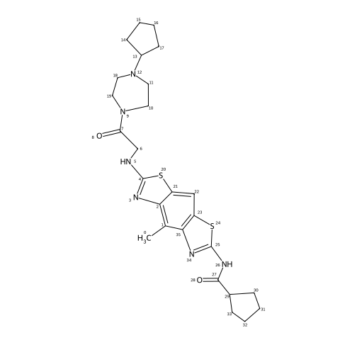 Cc1c2nc(NCC(=O)N3CCN(C4CCCC4)CC3)sc2cc2sc(NC(=O)C3CCCC3)nc12